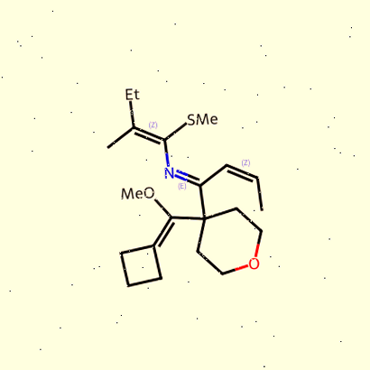 C\C=C/C(=N\C(SC)=C(/C)CC)C1(C(OC)=C2CCC2)CCOCC1